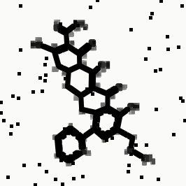 COCc1cc(-c2ccccn2)c2c(c1O)C(=O)C1=C(O)C3C(=O)C(C(N)=O)=C(O)CC3CC1C2